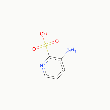 Nc1cccnc1S(=O)(=O)O